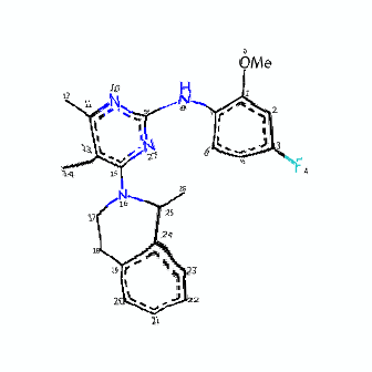 COc1cc(F)ccc1Nc1nc(C)c(C)c(N2CCc3ccccc3C2C)n1